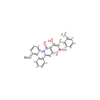 COc1cccc(-n2c(-c3ccccc3)cc3oc(=O)c(Sc4ccccc4C(F)(F)F)c(O)c3c2=O)c1